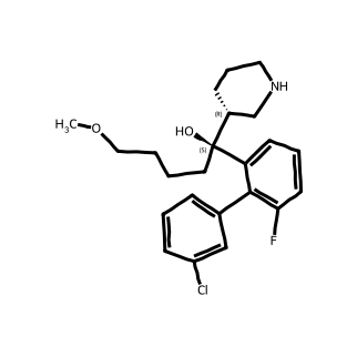 COCCCC[C@@](O)(c1cccc(F)c1-c1cccc(Cl)c1)[C@@H]1CCCNC1